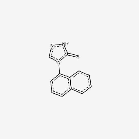 S=c1[nH]ncn1-c1cccc2ccccc12